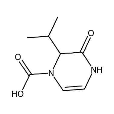 CC(C)C1C(=O)NC=CN1C(=O)O